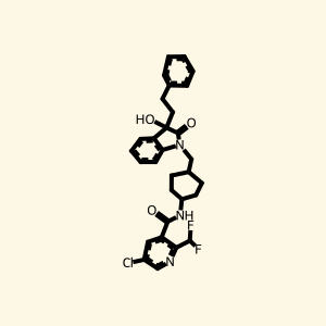 O=C(NC1CCC(CN2C(=O)C(O)(CCc3ccccc3)c3ccccc32)CC1)c1cc(Cl)cnc1C(F)F